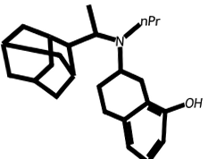 CCCN(C1CCc2cccc(O)c2C1)C(C)C1C2CC3CC(C2)CC1C3